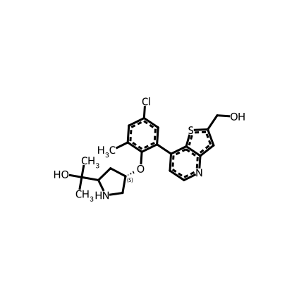 Cc1cc(Cl)cc(-c2ccnc3cc(CO)sc23)c1O[C@@H]1CNC(C(C)(C)O)C1